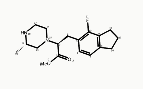 COC(=O)[C@H](Cc1ccc2c(c1F)CCC2)N1CCN[C@@H](C)C1